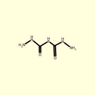 NNC(=O)BC(=O)NN